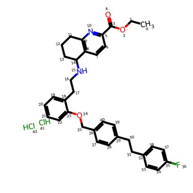 CCOC(=O)c1ccc2c(n1)CCCC2NCCc1ccccc1OCc1ccc(CCc2ccc(F)cc2)cc1.Cl.Cl